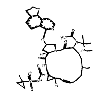 CC[C@@H]1C[C@@H](C)CC/C=C\[C@@H]2C[C@@]2(C(=O)NS(=O)(=O)C2(C)CC2)NC(=O)[C@@H]2C[C@@H](Oc3nccc4c5c(ccc34)CCO5)CN2C(=O)[C@H]1N(C(=O)O)C(C)(C)C